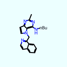 CCCCNc1nc(C)nc2ccn(Cc3nccc4ccccc34)c12